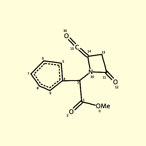 COC(=O)C(c1ccccc1)N1C(=O)CC1=C=O